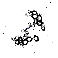 C[C@]12C(=NOC(=O)/C=C/C(=O)ON=C3CC(N4CCCC4)CC4CC(=O)[C@@H]5[C@@H](CC[C@]6(C)C(=O)CC[C@@H]56)[C@@]34C)CC(N3CCCC3)CC1CC(=O)[C@@H]1[C@H]2CC[C@]2(C)C(=O)CC[C@@H]12